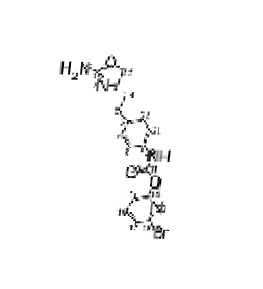 NC1=N[C@@H](CCc2ccc(NC(=O)Oc3cccc(Br)n3)cc2)CO1